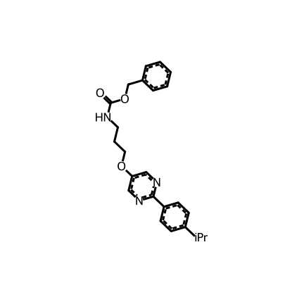 CC(C)c1ccc(-c2ncc(OCCCNC(=O)OCc3ccccc3)cn2)cc1